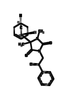 CN1C(=O)N(CC(=O)c2ccccc2)C(=O)C1(C)[C@H]1C[C@H]2CC=C1CC2